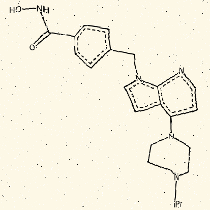 CC(C)N1CCN(c2ccnc3c2ccn3Cc2ccc(C(=O)NO)cc2)CC1